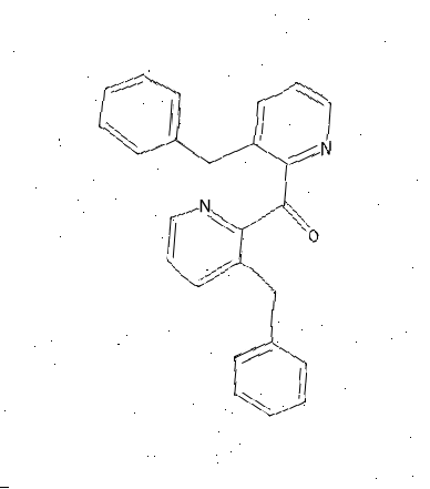 O=C(c1ncccc1Cc1ccccc1)c1ncccc1Cc1ccccc1